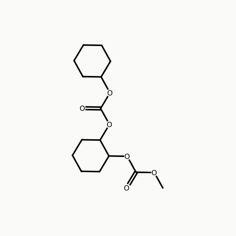 COC(=O)OC1CCCCC1OC(=O)OC1CCCCC1